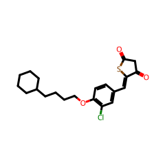 O=C1CC(=O)/C(=C/c2ccc(OCCCCC3CCCCC3)c(Cl)c2)S1